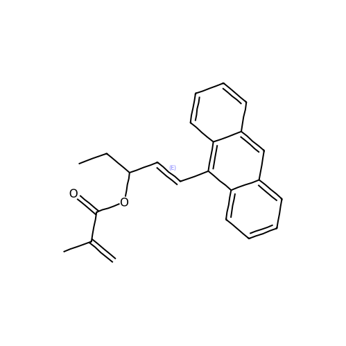 C=C(C)C(=O)OC(/C=C/c1c2ccccc2cc2ccccc12)CC